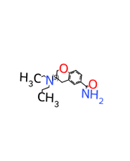 CCCN(CC)[C@@H]1COc2ccc(C(N)=O)cc2C1